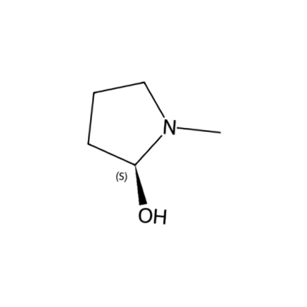 CN1CCC[C@@H]1O